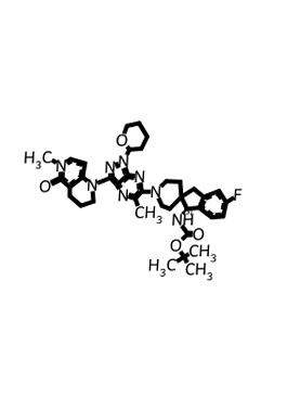 Cc1nc2c(N3CCCc4c3ccn(C)c4=O)nn(C3CCCCO3)c2nc1N1CCC2(CC1)Cc1cc(F)ccc1[C@H]2NC(=O)OC(C)(C)C